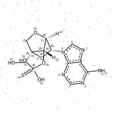 Nc1ncnc2c1ncn2[C@@H]1O[C@@]2(CO)CO[C@@H]1[C@@H]2OP(O)(O)=S